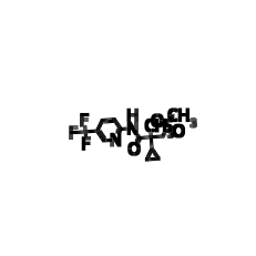 CC(CS(C)(=O)=O)(C(=O)Nc1ccc(C(F)(F)F)cn1)C1CC1